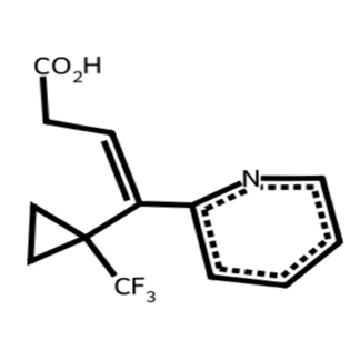 O=C(O)C/C=C(/c1ccccn1)C1(C(F)(F)F)CC1